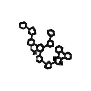 C[C@H]1Cc2ccc(-c3cccc(C4=CC=CCC4)c3)cc2-c2cc(-c3cccc(-c4ccccc4)c3)cc(-c3cccc(-c4cccc(-c5cnc6c7ccccc7c7ccccc7c6n5)c4)c3)c21